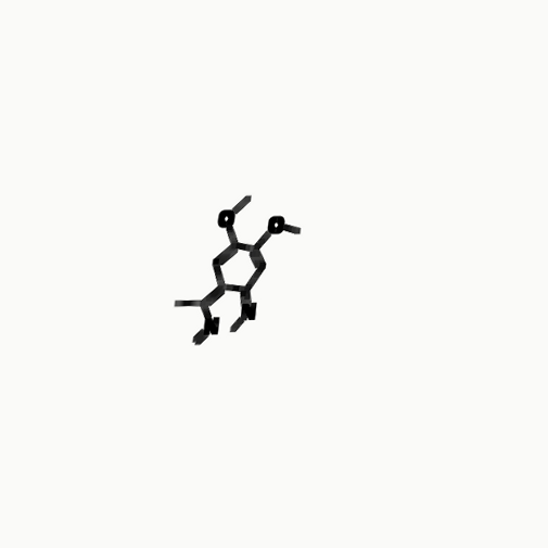 C=N/C(C)=C1/C=C(OC)C(OC)=C/C1=N/C